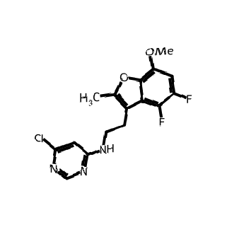 COc1cc(F)c(F)c2c(CCNc3cc(Cl)ncn3)c(C)oc12